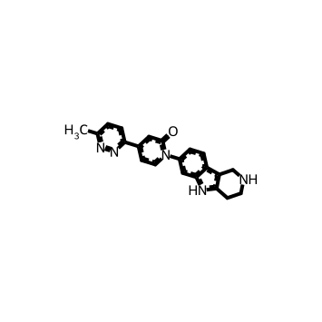 Cc1ccc(-c2ccn(-c3ccc4c5c([nH]c4c3)CCNC5)c(=O)c2)nn1